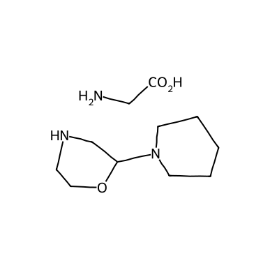 C1CCN(C2CNCCO2)CC1.NCC(=O)O